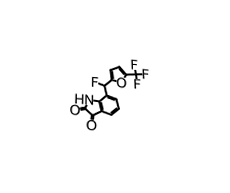 O=C1Nc2c(cccc2C(F)c2ccc(C(F)(F)F)o2)C1=O